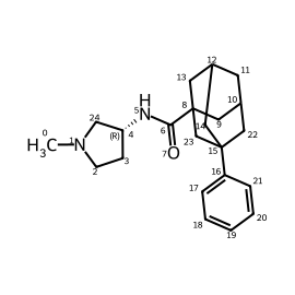 CN1CC[C@@H](NC(=O)C23CC4CC(C2)CC(c2ccccc2)(C4)C3)C1